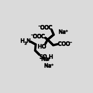 NCCS(=O)(=O)O.O=C([O-])CC(O)(CC(=O)[O-])C(=O)[O-].[Na+].[Na+].[Na+]